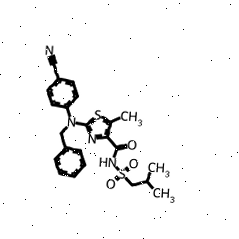 Cc1sc(N(Cc2ccccc2)c2ccc(C#N)cc2)nc1C(=O)NS(=O)(=O)CC(C)C